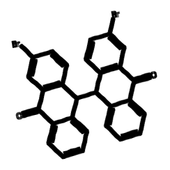 O=C1c2ccccc2C(C2c3ccccc3C(=O)c3cc(Br)ccc32)c2ccc(Br)cc21